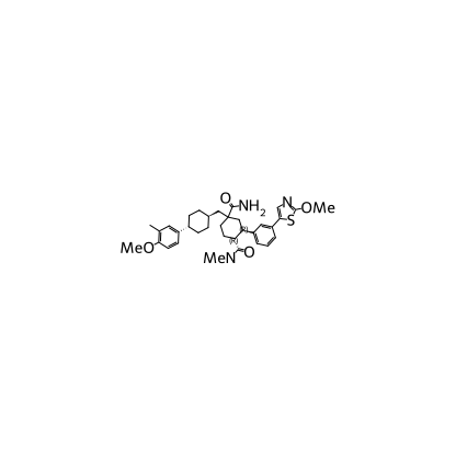 CNC(=O)[C@@H]1CCC(C[C@H]2CC[C@H](c3ccc(OC)c(C)c3)CC2)(C(N)=O)C[C@H]1c1cccc(-c2cnc(OC)s2)c1